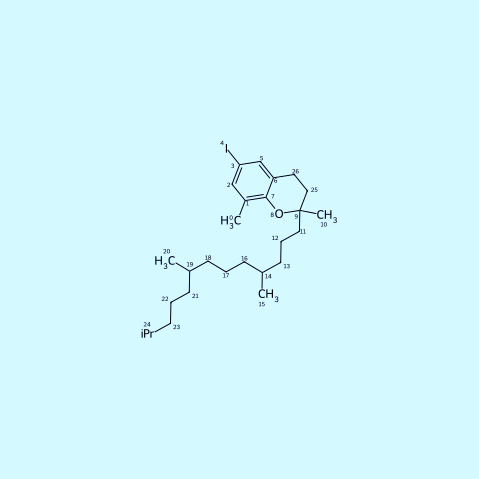 Cc1cc(I)cc2c1OC(C)(CCCC(C)CCCC(C)CCCC(C)C)CC2